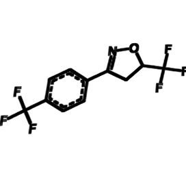 FC(F)(F)c1ccc(C2=NOC(C(F)(F)F)C2)cc1